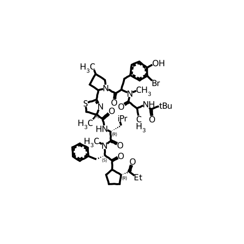 CCC(=O)[C@@H]1CCCC1C(=O)[C@H](Cc1ccccc1)N(C)C(=O)[C@@H](CC(C)C)NC(=O)[C@]1(C)CSC(C2CC(C)CN2C(=O)C(Cc2ccc(O)c(Br)c2)N(C)C(=O)C(C)NC(=O)C(C)(C)C)=N1